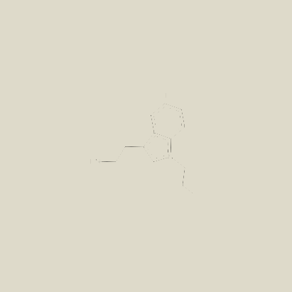 Cl.NCCc1cn(CCO)c2ccccc12